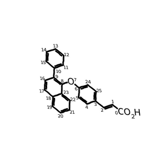 O=C(O)/C=C/c1ccc(Oc2c(-c3ccccc3)ccc3ccccc23)cc1